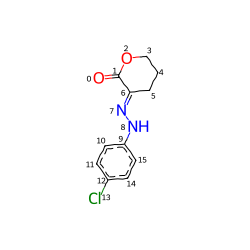 O=C1OCCC/C1=N\Nc1ccc(Cl)cc1